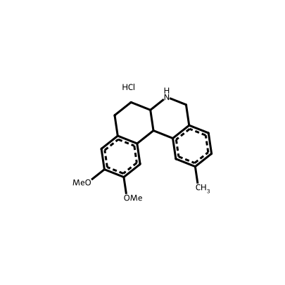 COc1cc2c(cc1OC)C1c3cc(C)ccc3CNC1CC2.Cl